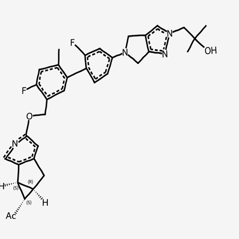 CC(=O)[C@H]1[C@@H]2Cc3cc(OCc4cc(-c5ccc(N6Cc7cn(CC(C)(C)O)nc7C6)cc5F)c(C)cc4F)ncc3[C@@H]21